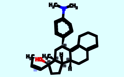 C/C=C\[C@]1(O)CC[C@H]2[C@@H]3CCC4=CCCCC4=C3[C@@H](c3ccc(N(C)C)cc3)C[C@@]21C